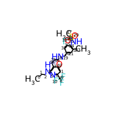 CCCNc1nc(C(F)(F)F)ccc1/C=C\C(=O)NCc1cc(C)c(NS(C)(=O)=O)c(F)c1